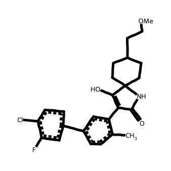 COCCC1CCC2(CC1)NC(=O)C(c1cc(-c3ccc(Cl)c(F)c3)ccc1C)=C2O